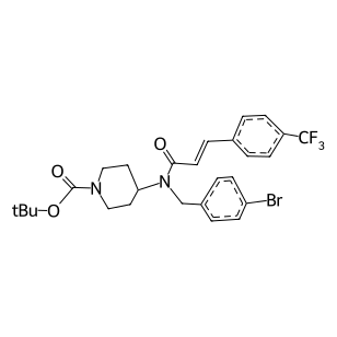 CC(C)(C)OC(=O)N1CCC(N(Cc2ccc(Br)cc2)C(=O)C=Cc2ccc(C(F)(F)F)cc2)CC1